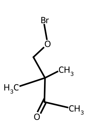 CC(=O)C(C)(C)COBr